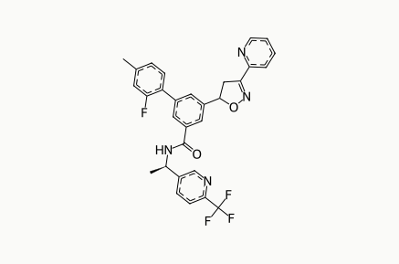 Cc1ccc(-c2cc(C(=O)N[C@H](C)c3ccc(C(F)(F)F)nc3)cc(C3CC(c4ccccn4)=NO3)c2)c(F)c1